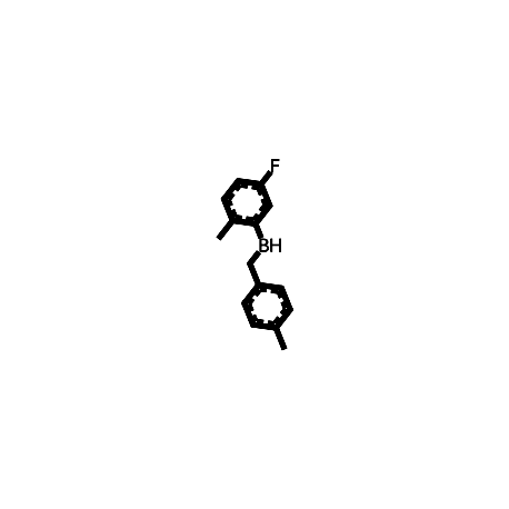 Cc1ccc(CBc2cc(F)ccc2C)cc1